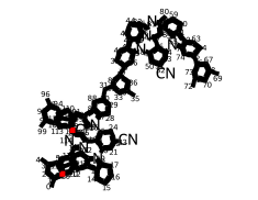 Cc1cc(C)cc(-c2ccc3c(c2)c2ccccc2n3-c2cc(C#N)cc(-n3c4ccc(Cc5cc(C)cc(-c6ccc7c8ccccc8n(-c8cc(C#N)cc(-n9c%10ccccc%10c%10ccc(-c%11cc(C)cc(C)c%11)cc%109)c8-c8cc(C)nc(C)n8)c7c6)c5)cc4c4cc(-c5cc(C)cc(C)c5)ccc43)c2-c2cc(-c3ccccc3)nc(-c3ccccc3)n2)c1